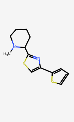 CN1CCCCC1c1nc(-c2cccs2)cs1